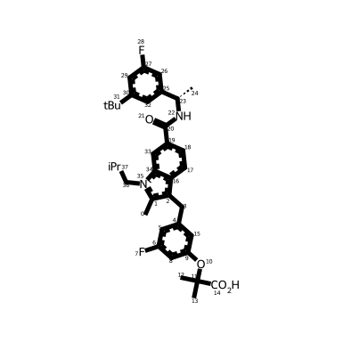 Cc1c(Cc2cc(F)cc(OC(C)(C)C(=O)O)c2)c2ccc(C(=O)N[C@@H](C)c3cc(F)cc(C(C)(C)C)c3)cc2n1CC(C)C